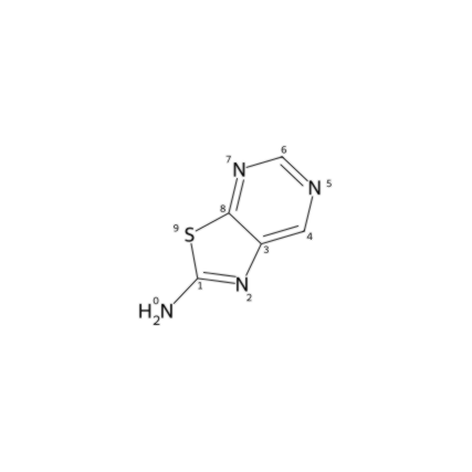 Nc1nc2cncnc2s1